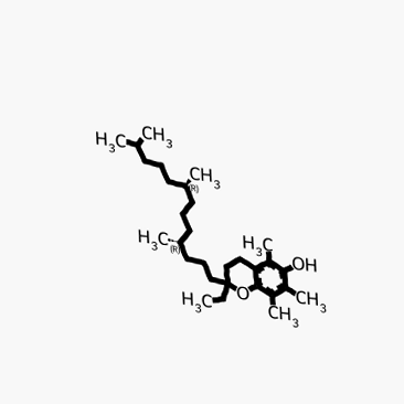 CCC1(CCC[C@H](C)CCC[C@H](C)CCCC(C)C)CCc2c(C)c(O)c(C)c(C)c2O1